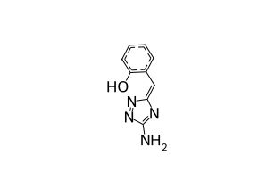 NC1=NC(=Cc2ccccc2O)N=N1